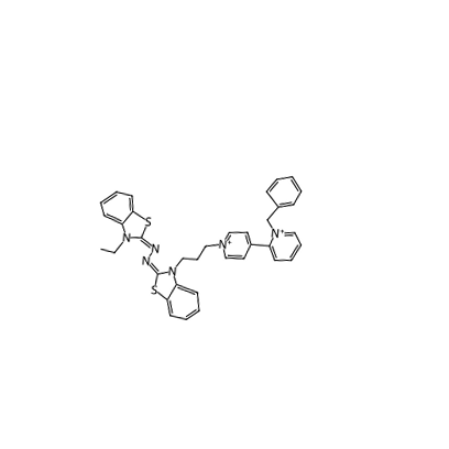 CCn1/c(=N\N=c2\sc3ccccc3n2CCC[n+]2ccc(-c3cccc[n+]3Cc3ccccc3)cc2)sc2ccccc21